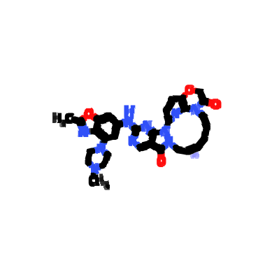 Cc1nc2c(N3CCN(C)CC3)cc(Nc3ncc4c(=O)n5n(c4n3)-c3ccc4c(n3)N(CCC/C=C\C5)C(=O)CO4)cc2o1